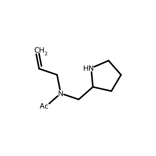 C=CCN(CC1CCCN1)C(C)=O